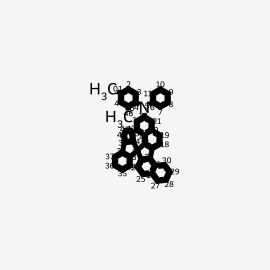 Cc1ccc(N(c2ccccc2)c2ccc3c4c(ccc3c2)-c2c(ccc3ccccc23)C42c3ccccc3-c3ccccc32)c(C)c1